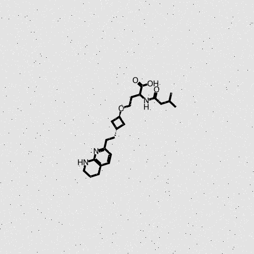 CC(C)CC(=O)NC(CCO[C@H]1C[C@H](CCc2ccc3c(n2)NCCC3)C1)C(=O)O